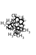 Cc1ncnc2c1ccn2[C@@H]1C=C(C(C)Cc2cc(F)c3cc(Cl)c(N)nc3c2)[C@H]2OC(C)(C)O[C@H]21